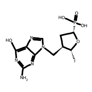 Nc1nc(O)c2ncn(C[C@H]3C[C@H](P(=O)(O)O)O[C@@H]3I)c2n1